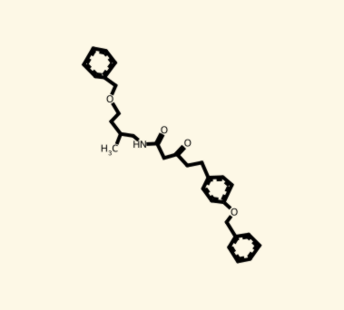 CC(CCOCc1ccccc1)CNC(=O)CC(=O)CCc1ccc(OCc2ccccc2)cc1